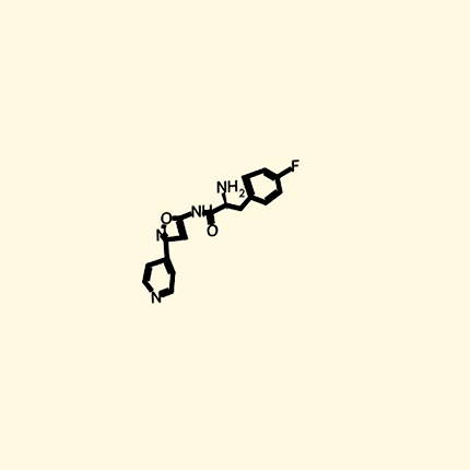 N[C@@H](Cc1ccc(F)cc1)C(=O)Nc1cc(-c2ccncc2)no1